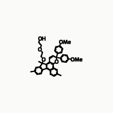 COc1ccc(C2(c3ccc(OC)cc3)C=Cc3c4c(c5ccc(C)cc5c3O2)-c2ccc(C)cc2C4(C)OCCOCCO)cc1